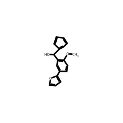 COc1ccc(-c2ccco2)cc1C(O)c1ccccc1